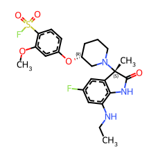 CCNc1cc(F)cc2c1NC(=O)[C@@]2(C)N1CCC[C@@H](Oc2ccc(S(=O)(=O)F)c(OC)c2)C1